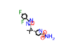 CC1(C)[C@H](c2ccc(S(N)(=O)=O)nc2)[C@H]1c1nc(-c2ccc(F)cc2F)no1